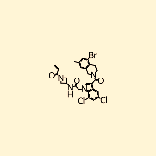 C=CC(=O)N1CC(NC(=O)Cn2cc(C(=O)N3CCc4c(Br)cc(C)cc4C3)c3cc(Cl)cc(Cl)c32)C1